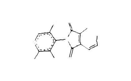 C/C=C\C1=C(C)C(=O)N(c2c(Cl)cnc(Cl)c2Cl)C1=O